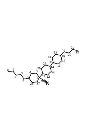 CCCCCC1CCC(C#N)(C2CCC(C3CCC(CCCC)CC3)CC2)CC1